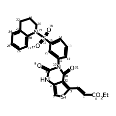 CCOC(=O)C=Cc1scc2[nH]c(=O)n(-c3cccc(S(=O)(=O)N4CCCc5ccccc54)c3)c(=O)c12